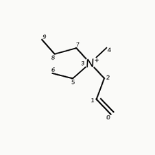 C=CC[N+](C)(CC)CCC